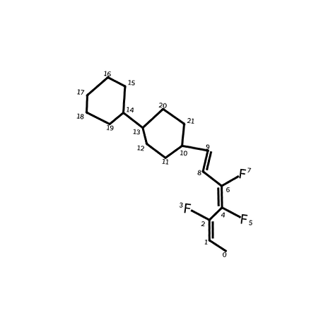 C\C=C(F)/C(F)=C(F)\C=C\C1CCC(C2CCCCC2)CC1